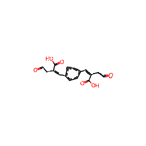 O=CCC(=Cc1ccc(C=C(CC=O)C(=O)O)cc1)C(=O)O